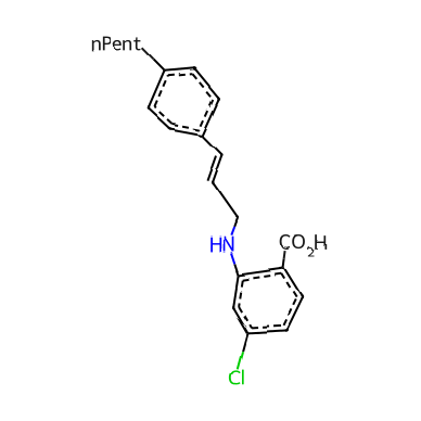 CCCCCc1ccc(/C=C/CNc2cc(Cl)ccc2C(=O)O)cc1